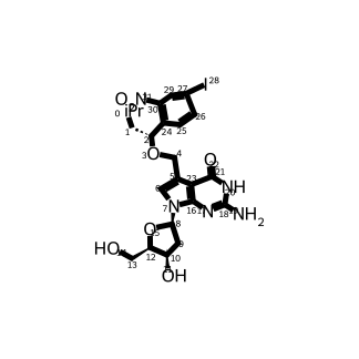 CC(C)C[C@@H](OCc1cn([C@H]2C[C@@H](O)[C@@H](CO)O2)c2nc(N)[nH]c(=O)c12)c1ccc(I)cc1[N+](=O)[O-]